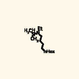 CCCCCCCCCCN(CC)[SiH](C)C